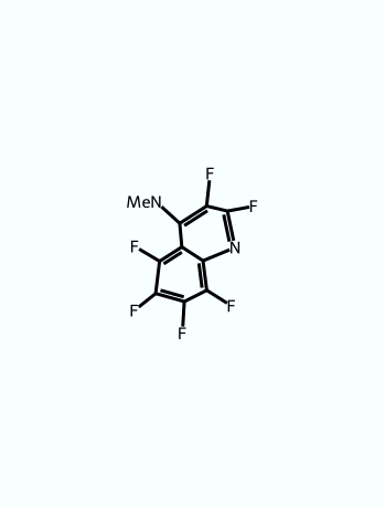 CNc1c(F)c(F)nc2c(F)c(F)c(F)c(F)c12